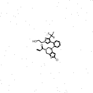 C=CC(=O)N1Cc2sc(Cl)cc2[C@H](c2ccccc2-c2cn(CCO)nc2C(F)(F)F)C1